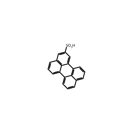 O=S(=O)(O)c1cc2cccc3c4cccc5cccc(c(c1)c23)c54